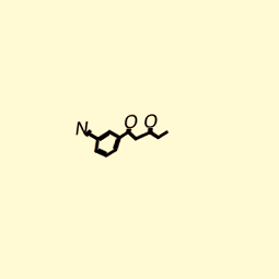 CCC(=O)CC(=O)c1cccc(C#N)c1